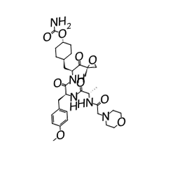 COc1ccc(C[C@H](NC(=O)[C@H](C)NC(=O)CN2CCOCC2)C(=O)N[C@@H](C[C@H]2CC[C@H](OC(N)=O)CC2)C(=O)[C@@]2(C)CO2)cc1